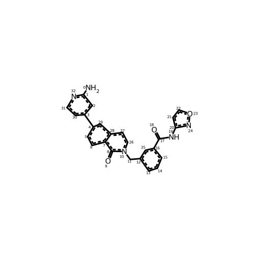 Nc1cc(-c2ccc3c(=O)n(Cc4cccc(C(=O)Nc5ccon5)c4)ccc3c2)ccn1